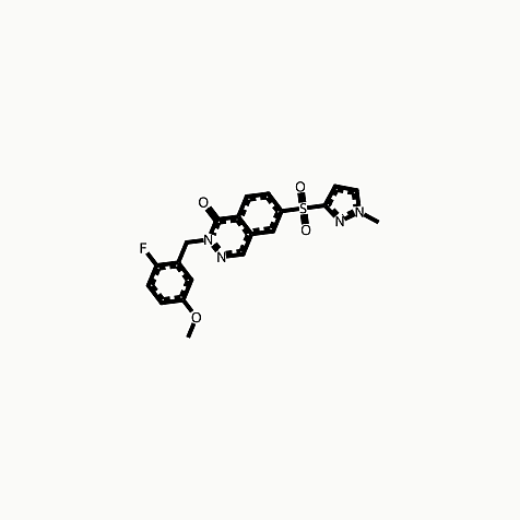 COc1ccc(F)c(Cn2ncc3cc(S(=O)(=O)c4ccn(C)n4)ccc3c2=O)c1